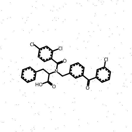 O=C(c1cccc(Cl)c1)c1cccc(CN(C(=O)c2ccc(Cl)cc2Cl)C(Cc2ccccc2)C(=O)O)c1